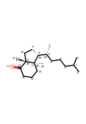 CC(C)CCC[C@@H](C)[C@H]1CC[C@H]2C(=O)CCC[C@]12C